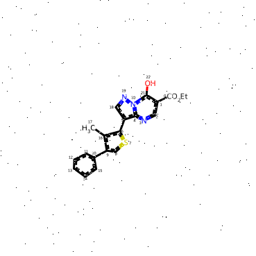 CCOC(=O)c1cnc2c(-c3scc(-c4ccccc4)c3C)cnn2c1O